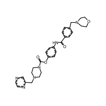 O=C(Nc1ccc(OC(=O)N2CCN(Cc3cnccn3)CC2)cc1)c1ccc(CN2CCOCC2)cc1